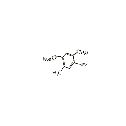 COc1cc(C=O)c(C(C)C)cc1C